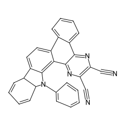 N#Cc1nc2c3ccccc3c3ccc4c(c3c2nc1C#N)N(c1ccccc1)C1C=CC=CC41